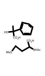 CC(O)(C(=O)O)c1ccccc1.CSCCC(NC(C)=O)C(=O)O